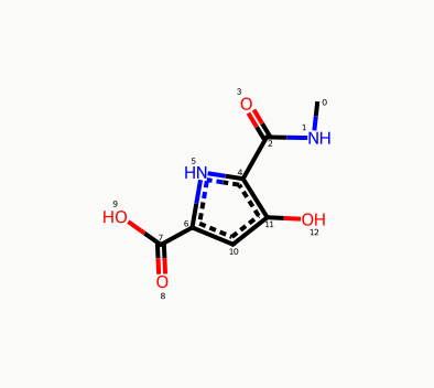 CNC(=O)c1[nH]c(C(=O)O)cc1O